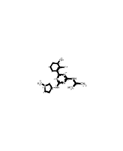 CC(C)Nc1nc(N[C@@H]2CCN(C)C2)nc(C2=C(F)C(O)CCC2)n1